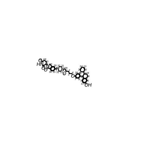 O=C(CCCOc1ccc([C@@H]2c3ccc(O)cc3CC[C@@H]2C2C=CC=CC2)cc1)CN1CCN(c2ccc3c(c2)CN(C2CCC(=O)NC2=O)C3=O)CC1